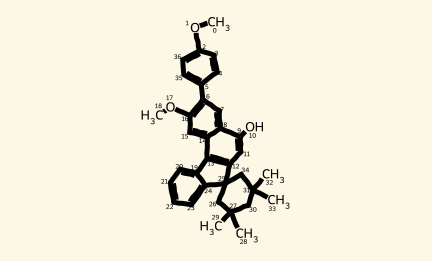 COc1ccc(-c2cc3c(O)cc4c(c3cc2OC)-c2ccccc2C42CC(C)(C)CC(C)(C)C2)cc1